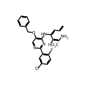 C=C/C=C(Nc1nc(-c2cc(Cl)ccc2F)ncc1OCc1ccccc1)\C(=C/N)C(=O)O